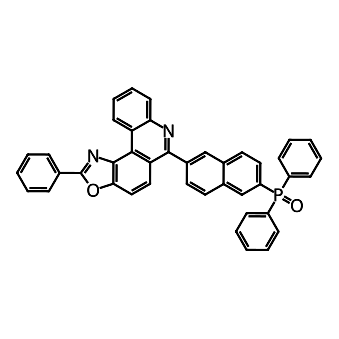 O=P(c1ccccc1)(c1ccccc1)c1ccc2cc(-c3nc4ccccc4c4c3ccc3oc(-c5ccccc5)nc34)ccc2c1